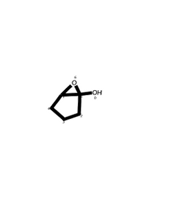 OC12CCCC1O2